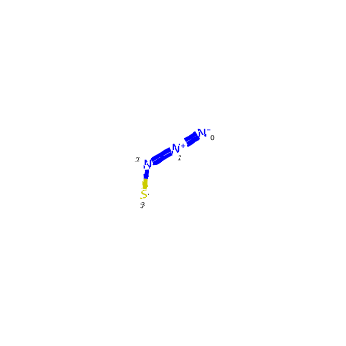 [N-]=[N+]=N[S]